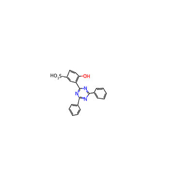 O=S(=O)(O)c1ccc(O)c(-c2nc(-c3ccccc3)nc(-c3ccccc3)n2)c1